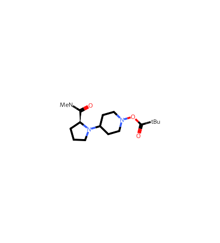 CNC(=O)[C@@H]1CCCN1C1CCN(OC(=O)C(C)(C)C)CC1